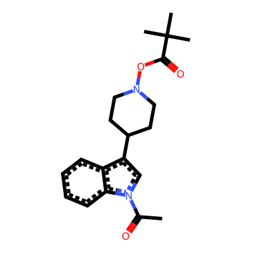 CC(=O)n1cc(C2CCN(OC(=O)C(C)(C)C)CC2)c2ccccc21